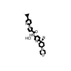 Cl.N#C[C@]1(c2ccc(NC(=O)c3ccn(-c4ccc(C5CC5)cn4)c3)cn2)CC[C@H](N2CCOCC2)CC1